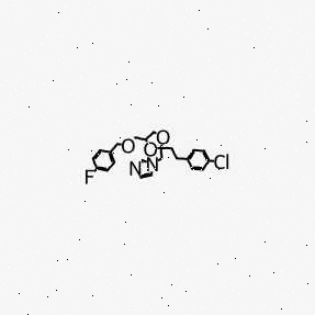 Fc1ccc(COCC2COC(CCc3ccc(Cl)cc3)(Cn3ccnc3)O2)cc1